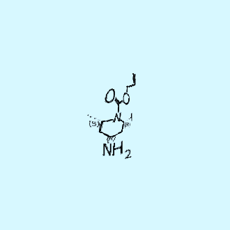 C=CCOC(=O)N1[C@H](I)C[C@H](N)C[C@@H]1C